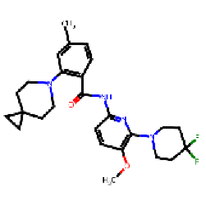 COc1ccc(NC(=O)c2ccc(C)cc2N2CCC3(CC2)CC3)nc1N1CCC(F)(F)CC1